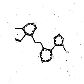 C=Cc1c(C)cncc1CCc1cccnc1-c1ccnn1C(C)C